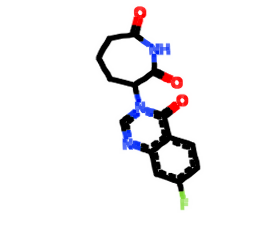 O=C1CCCC(n2cnc3cc(F)ccc3c2=O)C(=O)N1